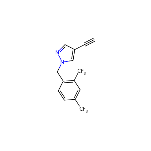 C#Cc1cnn(Cc2ccc(C(F)(F)F)cc2C(F)(F)F)c1